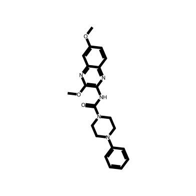 COc1ccc2nc(NC(=O)N3CCN(c4ccccc4)CC3)c(OC)nc2c1